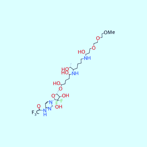 COCCOCCOCC[C@@H](O)NCCCCC(N[C@H](O)CCC[C@H](O)OC[C@H]1O[C@@H](N2C=CC(NC(=O)C(F)(F)F)=N[C@H]2O)C(F)(F)C1O)[C@@H](C)O